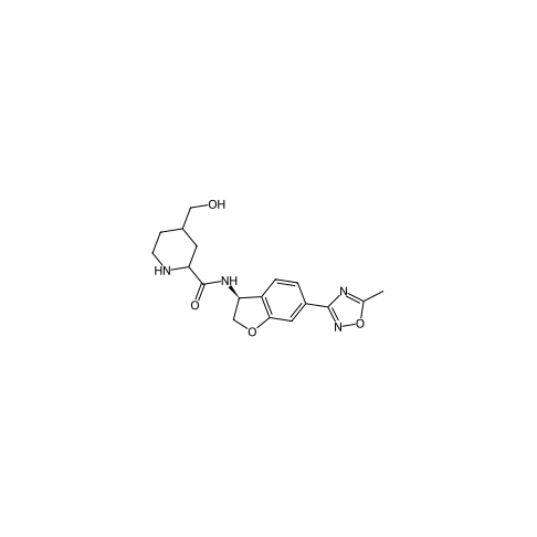 Cc1nc(-c2ccc3c(c2)OC[C@H]3NC(=O)C2CC(CO)CCN2)no1